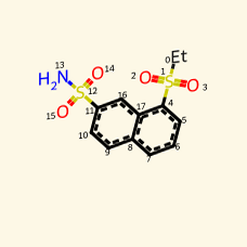 CCS(=O)(=O)c1cccc2ccc(S(N)(=O)=O)cc12